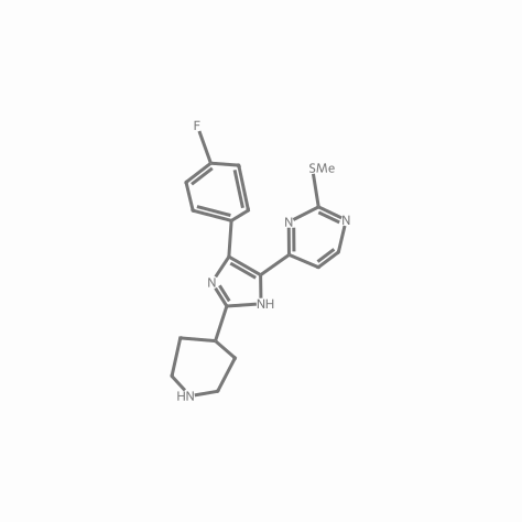 CSc1nccc(-c2[nH]c(C3CCNCC3)nc2-c2ccc(F)cc2)n1